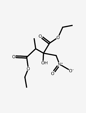 CCOC(=O)C(C)C(O)(C[N+](=O)[O-])C(=O)OCC